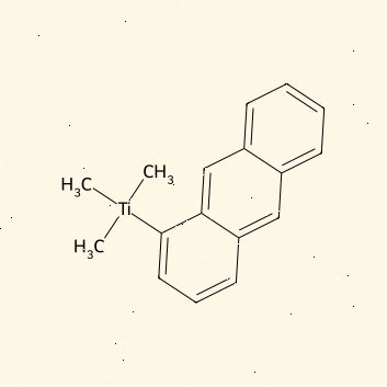 [CH3][Ti]([CH3])([CH3])[c]1cccc2cc3ccccc3cc12